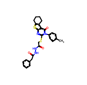 Cc1ccc(-n2c(SCC(=O)NNC(=O)Cc3ccccc3)nc3sc4c(c3c2=O)CCCC4)cc1